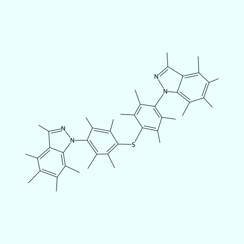 Cc1c(C)c(-n2nc(C)c3c(C)c(C)c(C)c(C)c32)c(C)c(C)c1Sc1c(C)c(C)c(-n2nc(C)c3c(C)c(C)c(C)c(C)c32)c(C)c1C